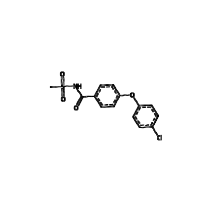 CS(=O)(=O)NC(=O)c1ccc(Oc2ccc(Cl)cc2)cc1